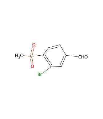 CS(=O)(=O)c1ccc(C=O)cc1Br